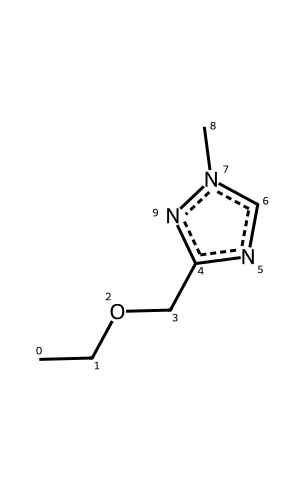 CCOCc1ncn(C)n1